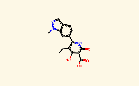 CCc1c(-c2ccc3cnn(C)c3c2)[nH]c(=O)c(C(=O)O)c1O